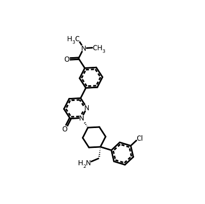 CN(C)C(=O)c1cccc(-c2ccc(=O)n([C@H]3CC[C@](CN)(c4cccc(Cl)c4)CC3)n2)c1